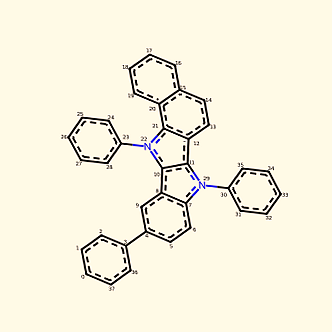 c1ccc(-c2ccc3c(c2)c2c(c4ccc5ccccc5c4n2-c2ccccc2)n3-c2ccccc2)cc1